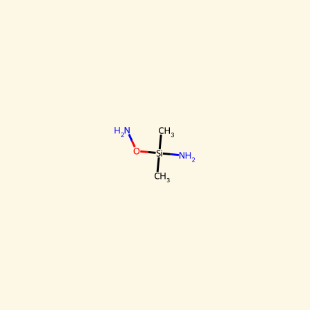 C[Si](C)(N)ON